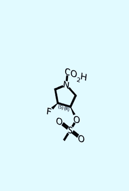 CS(=O)(=O)O[C@@H]1CN(C(=O)O)C[C@@H]1F